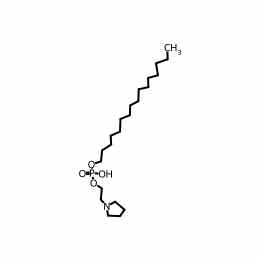 CCCCCCCCCCCCCCCCOP(=O)(O)OCCN1CCCC1